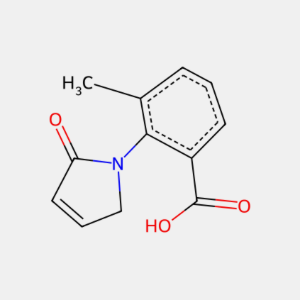 Cc1cccc(C(=O)O)c1N1CC=CC1=O